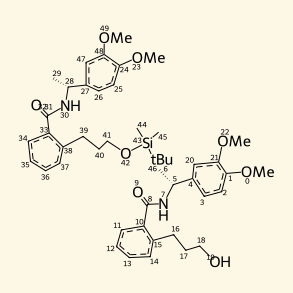 COc1ccc([C@@H](C)NC(=O)c2ccccc2CCCO)cc1OC.COc1ccc([C@@H](C)NC(=O)c2ccccc2CCCO[Si](C)(C)C(C)(C)C)cc1OC